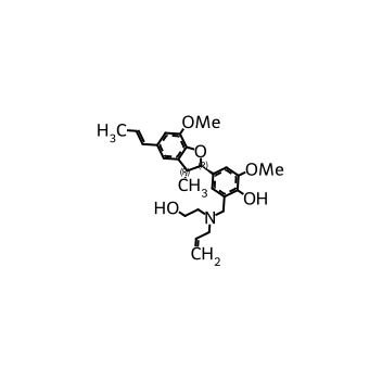 C=CCN(CCO)Cc1cc([C@@H]2Oc3c(OC)cc(C=CC)cc3[C@H]2C)cc(OC)c1O